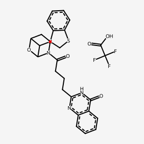 O=C(CCCc1nc2ccccc2c(=O)[nH]1)N1CCC2OC1C2N1CSc2ccccc21.O=C(O)C(F)(F)F